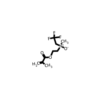 C=C(C)C(=O)OCC[N+](C)([O-])CC(F)(F)F